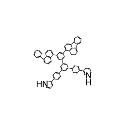 C1=CNCC(c2ccc(-c3cc(-c4ccc(C5=CNCC=C5)cc4)cc(-c4cc(-c5ccc6c7c(cccc57)-c5ccccc5-6)cc(-c5ccc6c7c(cccc57)-c5ccccc5-6)c4)c3)cc2)=C1